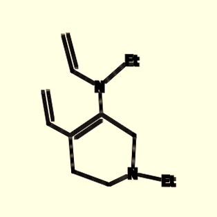 C=CC1=C(N(C=C)CC)CN(CC)CC1